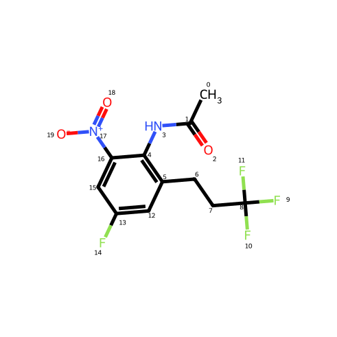 CC(=O)Nc1c(CCC(F)(F)F)cc(F)cc1[N+](=O)[O-]